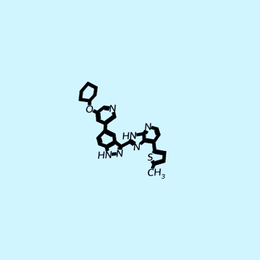 Cc1ccc(-c2ccnc3[nH]c(-c4n[nH]c5ccc(-c6cncc(OC7CCCCC7)c6)cc45)nc23)s1